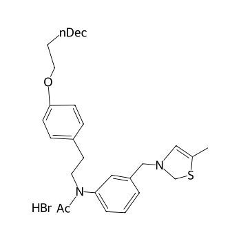 Br.CCCCCCCCCCCCOc1ccc(CCN(C(C)=O)c2cccc(CN3C=C(C)SC3)c2)cc1